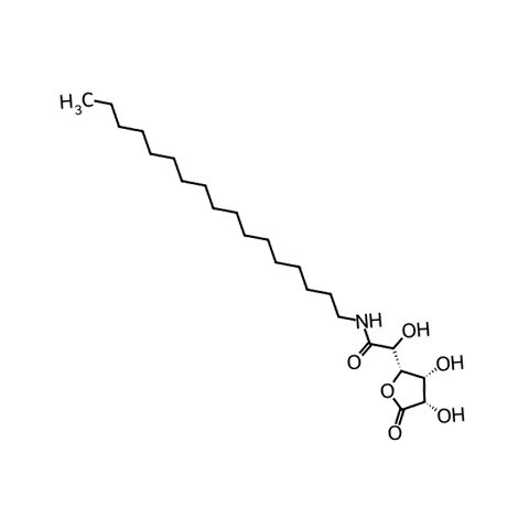 CCCCCCCCCCCCCCCCCNC(=O)C(O)[C@H]1OC(=O)[C@@H](O)[C@H]1O